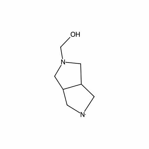 OCN1CC2C[N]CC2C1